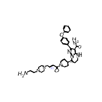 NCCN1CCN(C/C=C/C(=O)N2CCC([C@@H]3CCNc4c(C(N)=O)c(-c5ccc(Oc6ccccc6)cc5)nn43)CC2)CC1